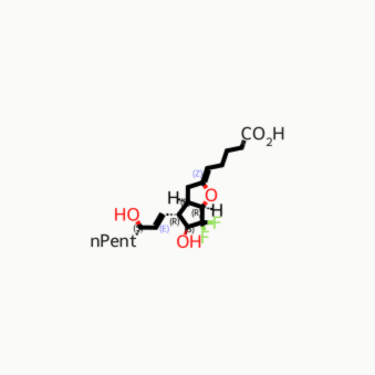 CCCCC[C@H](O)/C=C/[C@@H]1[C@H]2C/C(=C/CCCC(=O)O)O[C@H]2C(F)(F)[C@H]1O